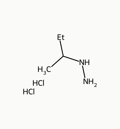 CCC(C)NN.Cl.Cl